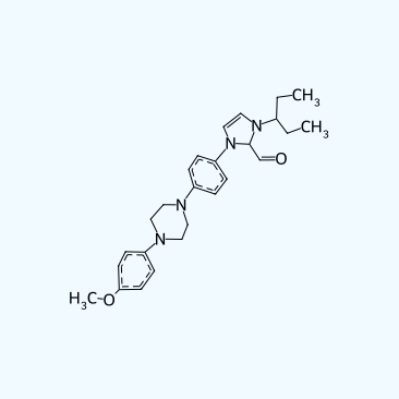 CCC(CC)N1C=CN(c2ccc(N3CCN(c4ccc(OC)cc4)CC3)cc2)C1C=O